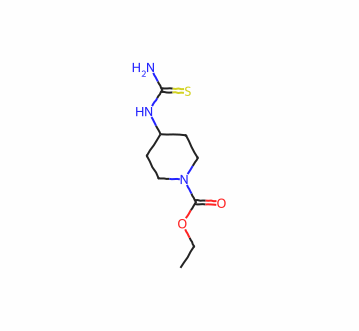 CCOC(=O)N1CCC(NC(N)=S)CC1